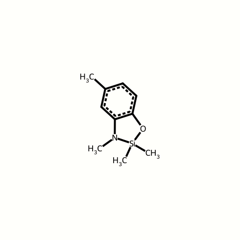 Cc1ccc2c(c1)N(C)[Si](C)(C)O2